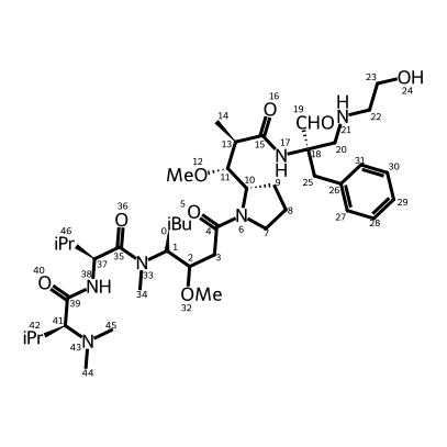 CC[C@H](C)C(C(CC(=O)N1CCC[C@H]1[C@H](OC)[C@@H](C)C(=O)N[C@@](C=O)(CNCCO)Cc1ccccc1)OC)N(C)C(=O)[C@@H](NC(=O)[C@H](C(C)C)N(C)C)C(C)C